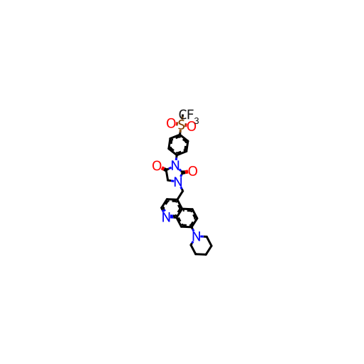 O=C1CN(Cc2ccnc3cc(N4CCCCC4)ccc23)C(=O)N1c1ccc(S(=O)(=O)C(F)(F)F)cc1